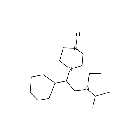 CCN(CC(C1CCCCC1)N1CCN(Cl)CC1)C(C)C